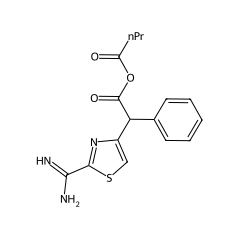 CCCC(=O)OC(=O)C(c1ccccc1)c1csc(C(=N)N)n1